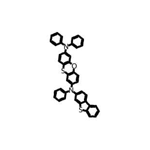 c1ccc(N(c2ccccc2)c2ccc3c(c2)Oc2ccc(N(c4ccccc4)c4ccc5c(c4)sc4ccccc45)cc2S3)cc1